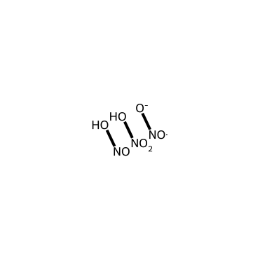 O=NO.O=[N+]([O-])O.O=[N+][O-]